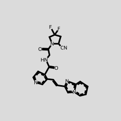 N#CC1CC(F)(F)CN1C(=O)CNC(=O)c1ccncc1/C=C/c1cn2ccccc2n1